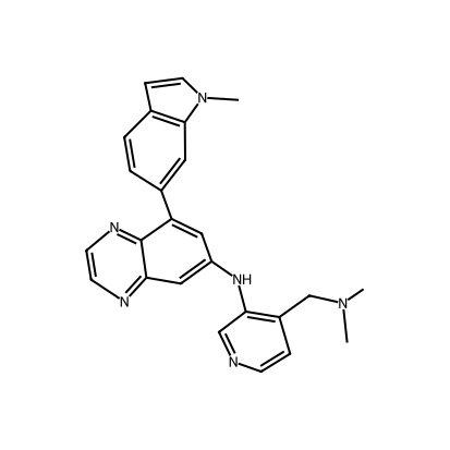 CN(C)Cc1ccncc1Nc1cc(-c2ccc3ccn(C)c3c2)c2nccnc2c1